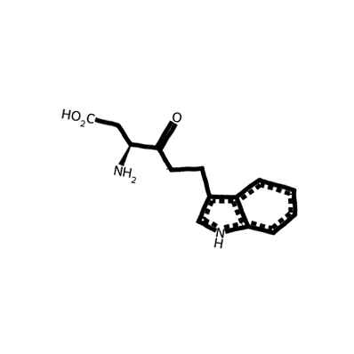 N[C@@H](CC(=O)O)C(=O)[CH]Cc1c[nH]c2ccccc12